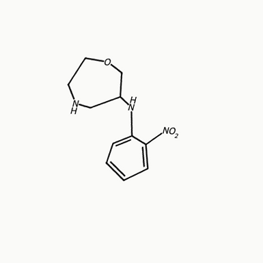 O=[N+]([O-])c1ccccc1NC1CNCCOC1